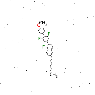 CCCCCCCc1ccc2c(F)c(-c3cc(F)c(-c4ccc(OC)cc4)c(F)c3)ccc2c1